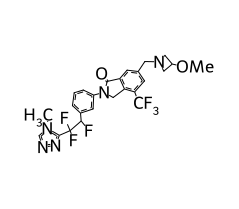 COC1CN(Cc2cc3c(c(C(F)(F)F)c2)CN(c2cccc(C(F)C(F)(F)c4nncn4C)c2)C3=O)C1